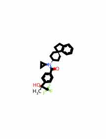 C[C@](O)(c1ccc(C(=O)N(C2CC2)[C@H]2CC[C@]3(CCc4ccccc43)CC2)cc1)C(F)(F)F